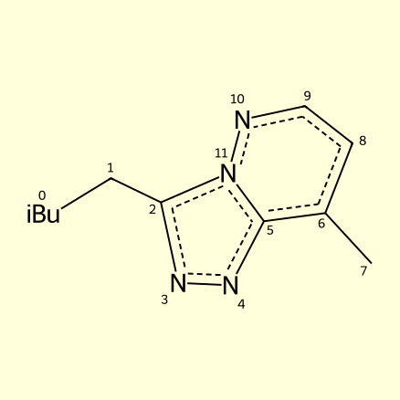 CCC(C)Cc1nnc2c(C)ccnn12